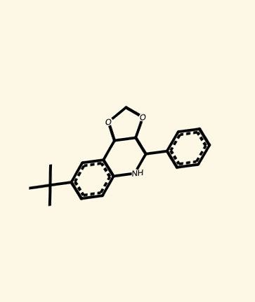 CC(C)(C)c1ccc2c(c1)C1OCOC1C(c1ccccc1)N2